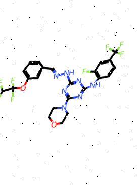 Fc1cc(C(F)(F)F)ccc1Nc1nc(N/N=C/c2cccc(OC(F)(F)C(F)F)c2)nc(N2CCOCC2)n1